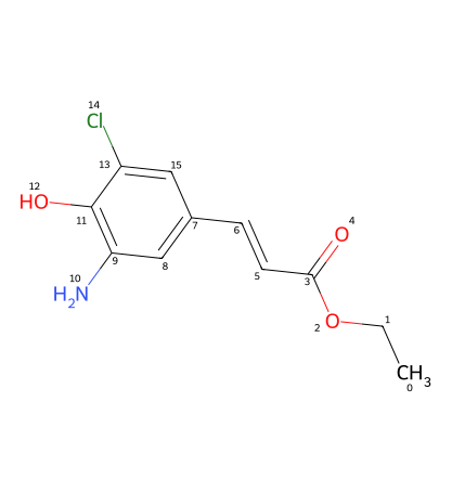 CCOC(=O)/C=C/c1cc(N)c(O)c(Cl)c1